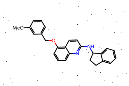 COc1cccc(COc2cccc3nc(NC4CCc5ccccc54)ccc23)c1